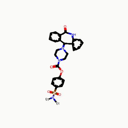 CCN(CC)S(=O)(=O)c1ccc(OC(=O)N2CCN(C3c4ccccc4NC(=O)c4ccccc43)CC2)cc1